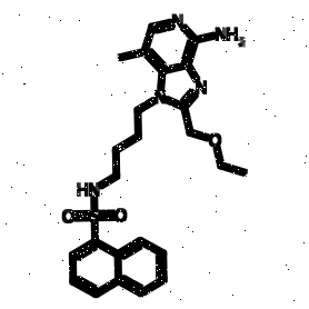 CCOCc1nc2c(N)ncc(C)c2n1CCCCNS(=O)(=O)c1cccc2ccccc12